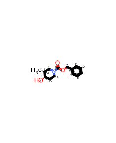 C[C@H]1CN(C(=O)OCc2ccccc2)CC[C@@H]1O